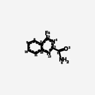 NC(=O)c1nc(F)c2ccccc2n1